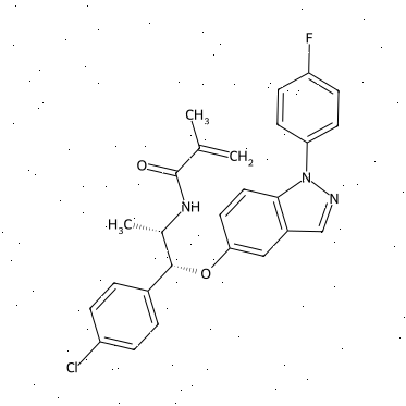 C=C(C)C(=O)N[C@@H](C)[C@H](Oc1ccc2c(cnn2-c2ccc(F)cc2)c1)c1ccc(Cl)cc1